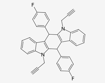 C#CCn1c2c(c3ccccc31)C(c1ccc(F)cc1)c1c(c3ccccc3n1CC#C)C2c1ccc(F)cc1